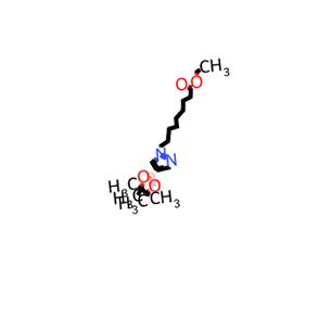 CCOC(=O)CCCCCCCCn1cc(B2OC(C)(C)C(C)(C)O2)cn1